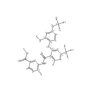 COC(=O)c1cc(NC(=O)c2c(C)cc(C(F)(F)F)cc2Oc2ccc(OC(F)(F)F)cc2OC)c(C)cn1